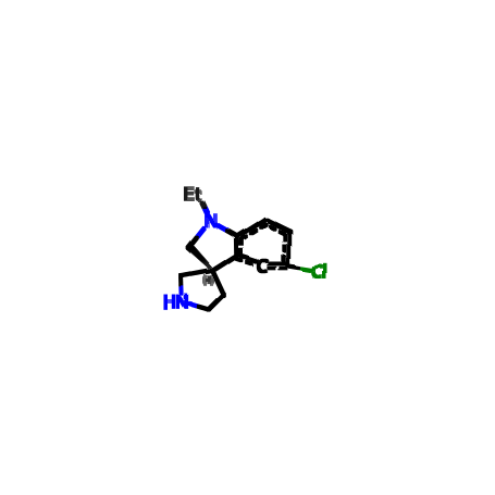 CCN1C[C@]2(CCNC2)c2cc(Cl)ccc21